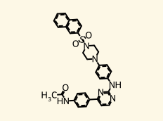 CC(=O)Nc1ccc(-c2ccnc(Nc3ccc(N4CCN(S(=O)(=O)c5ccc6ccccc6c5)CC4)cc3)n2)cc1